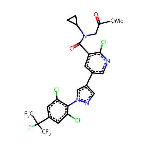 COC(=O)CN(C(=O)c1cc(-c2cnn(-c3c(Cl)cc(C(F)(C(F)(F)F)C(F)(F)F)cc3Cl)c2)cnc1Cl)C1CC1